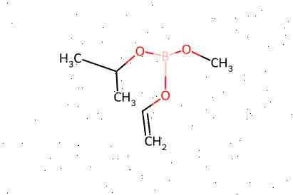 C=COB(OC)OC(C)C